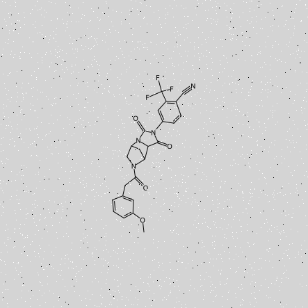 COc1cccc(CC(=O)N2CC3CC2C2C(=O)N(c4ccc(C#N)c(C(F)(F)F)c4)C(=O)N32)c1